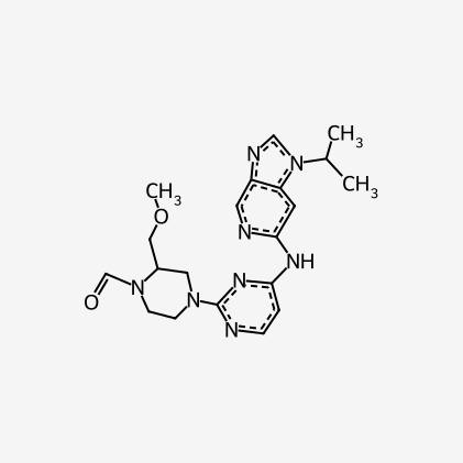 COCC1CN(c2nccc(Nc3cc4c(cn3)ncn4C(C)C)n2)CCN1C=O